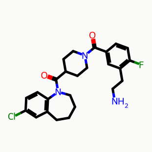 NCCc1cc(C(=O)N2CCC(C(=O)N3CCCCc4cc(Cl)ccc43)CC2)ccc1F